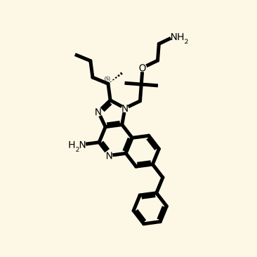 CCC[C@H](C)c1nc2c(N)nc3cc(Cc4ccccc4)ccc3c2n1CC(C)(C)OCCN